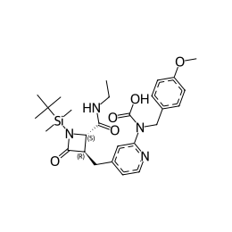 CCNC(=O)[C@@H]1[C@@H](Cc2ccnc(N(Cc3ccc(OC)cc3)C(=O)O)c2)C(=O)N1[Si](C)(C)C(C)(C)C